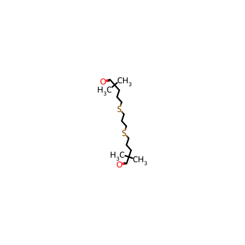 CC(C)(C=O)CCCSCCCSCCCC(C)(C)C=O